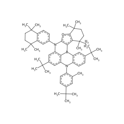 Cc1cc(C(C)(C)C)ccc1N1c2ccc(C(C)(C)C)cc2B2c3c1cc(C(C)(C)C)cc3N(c1ccc3c(c1)C(C)(C)CCC3(C)C)c1oc3c(c12)C(C)(C)CCC3(C)C